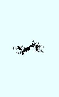 CN(C)CCCN[C@@H](Cc1ccc2cc(CCCCNC(=N)NC(=O)c3nc(Cl)c(N)nc3N)ccc2c1)C(N)=O